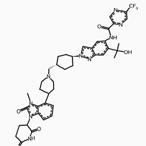 Cn1c(=O)n(C2CCC(=O)NC2=O)c2cccc(C3CCN(C[C@H]4CC[C@H](n5cc6cc(NC(=O)c7cnc(C(F)(F)F)cn7)c(C(C)(C)O)cc6n5)CC4)CC3)c21